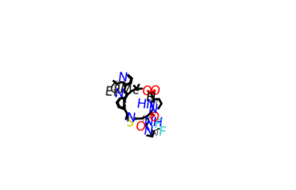 CCn1c(-c2cccnc2[C@H](C)OC)c2c3cc(ccc31)-c1csc(n1)C[C@H](NC(=O)N1CC[C@H]1C(F)F)C(=O)N1CCC[C@H](N1)C(=O)OCC(C)(C)C2